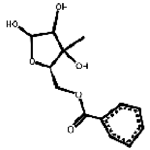 CC1(O)C(O)C(O)O[C@@H]1COC(=O)c1ccccc1